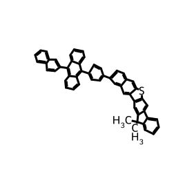 CC1(C)c2ccccc2-c2cc3sc4cc5ccc(-c6ccc(-c7c8ccccc8c(-c8ccc9ccccc9c8)c8ccccc78)cc6)cc5cc4c3cc21